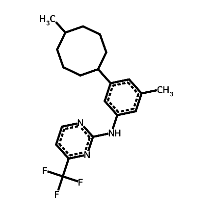 Cc1cc(Nc2nccc(C(F)(F)F)n2)cc(C2CCCC(C)CCC2)c1